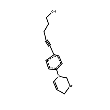 OCCCC#Cc1ccc(N2C=CCNC2)cc1